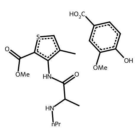 CCCNC(C)C(=O)Nc1c(C)csc1C(=O)OC.COc1cc(C(=O)O)ccc1O